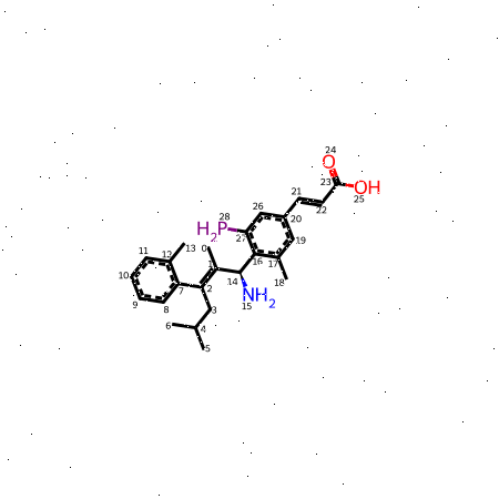 C/C(=C(/CC(C)C)c1ccccc1C)[C@H](N)c1c(C)cc(/C=C/C(=O)O)cc1P